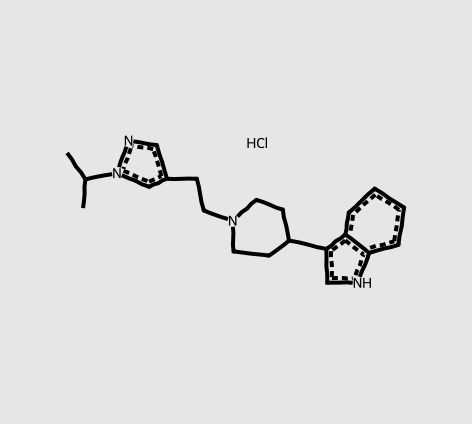 CC(C)n1cc(CCN2CCC(c3c[nH]c4ccccc34)CC2)cn1.Cl